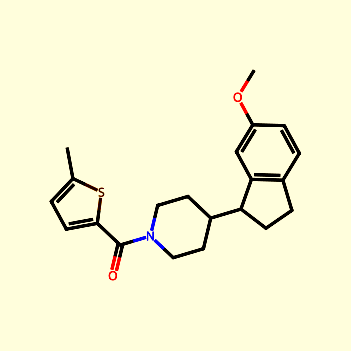 COc1ccc2c(c1)C(C1CCN(C(=O)c3ccc(C)s3)CC1)CC2